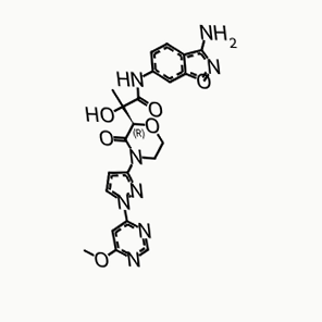 COc1cc(-n2ccc(N3CCO[C@H](C(C)(O)C(=O)Nc4ccc5c(N)noc5c4)C3=O)n2)ncn1